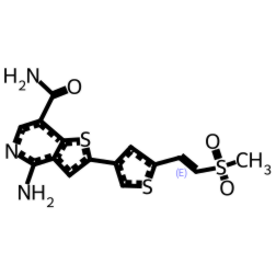 CS(=O)(=O)/C=C/c1cc(-c2cc3c(N)ncc(C(N)=O)c3s2)cs1